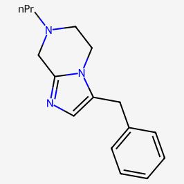 CCCN1CCn2c(Cc3ccccc3)cnc2C1